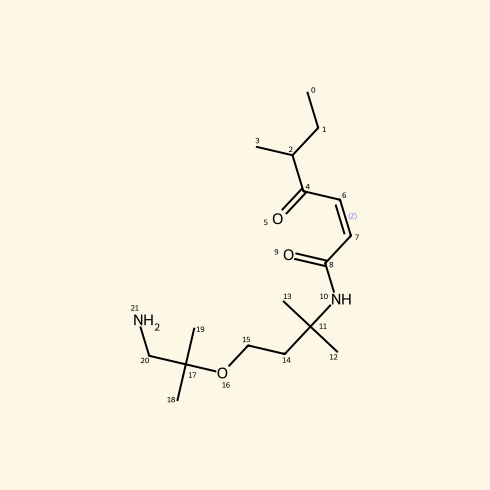 CCC(C)C(=O)/C=C\C(=O)NC(C)(C)CCOC(C)(C)CN